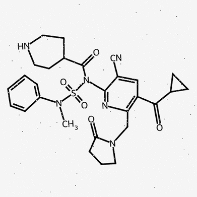 CN(c1ccccc1)S(=O)(=O)N(C(=O)C1CCNCC1)c1nc(CN2CCCC2=O)c(C(=O)C2CC2)cc1C#N